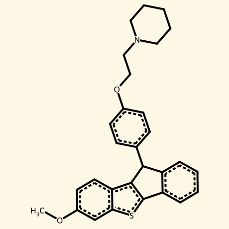 COc1ccc2c3c(sc2c1)-c1ccccc1C3c1ccc(OCCN2CCCCC2)cc1